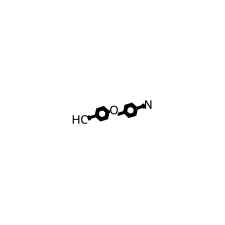 C#Cc1ccc(OCc2ccc(C#N)cc2)cc1